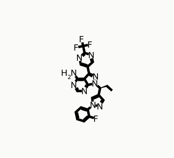 CC[C@@H](c1cnn(-c2ccccc2F)c1)n1nc(-c2cnc(C(F)(F)F)nc2)c2c(N)ncnc21